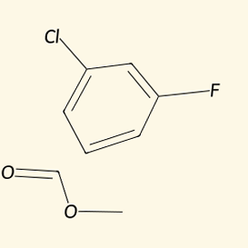 COC=O.Fc1cccc(Cl)c1